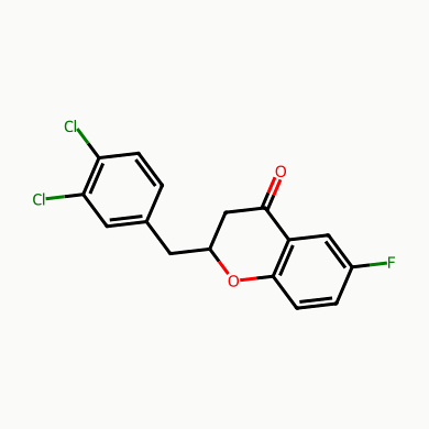 O=C1CC(Cc2ccc(Cl)c(Cl)c2)Oc2ccc(F)cc21